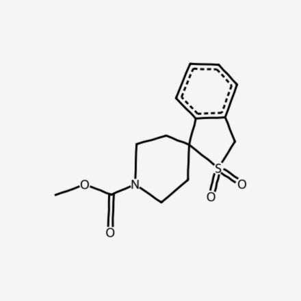 COC(=O)N1CCC2(CC1)c1ccccc1CS2(=O)=O